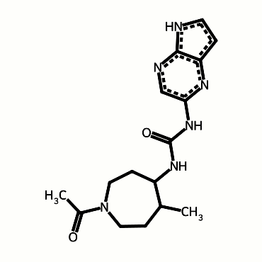 CC(=O)N1CCC(C)C(NC(=O)Nc2cnc3[nH]ccc3n2)CC1